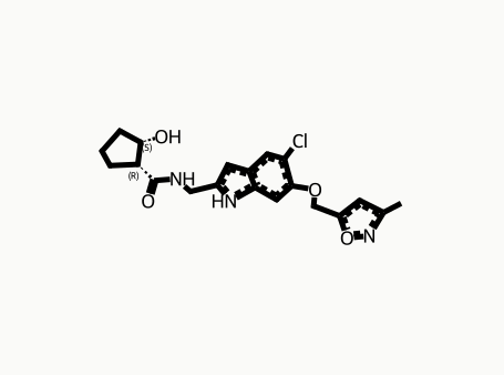 Cc1cc(COc2cc3[nH]c(CNC(=O)[C@@H]4CCC[C@@H]4O)cc3cc2Cl)on1